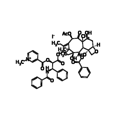 CC(=O)O[C@H]1C(=O)C2(C)C([C@H](OC(=O)c3ccccc3)[C@]3(O)C[C@H](OC(=O)[C@H](OC(=O)c4ccc[n+](C)c4)[C@H](NC(=O)c4ccccc4)c4ccccc4)C(C)=C1C3(C)C)[C@]1(OC(C)=O)CO[C@@H]1C[C@@H]2O.[I-]